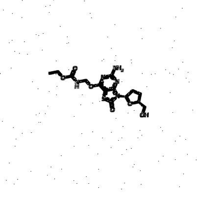 CCOC(=O)NCOc1nc(N)nc2c1sc(=O)n2[C@H]1CC[C@@H](CO)O1